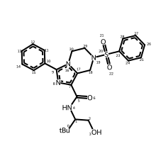 CC(C)(C)C(CO)NC(=O)c1nc(-c2ccccc2)n2c1CN(S(=O)(=O)c1ccccc1)CC2